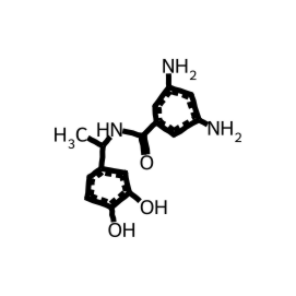 CC(NC(=O)c1cc(N)cc(N)c1)c1ccc(O)c(O)c1